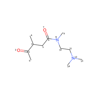 CC(=O)C(C)CC(=O)N(C)CCN(C)C